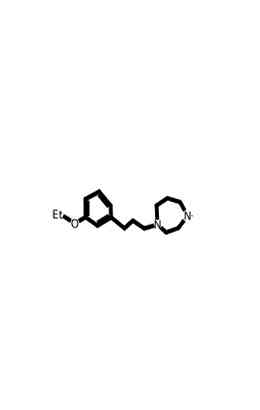 CCOc1cccc(CCCN2CCC[N]CC2)c1